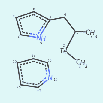 C[Te]C(C)Cc1ccc[nH]1.c1ccncc1